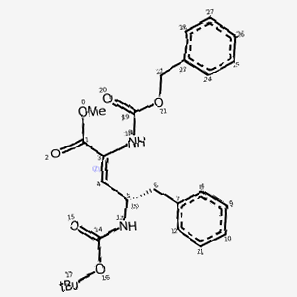 COC(=O)/C(=C/[C@H](Cc1ccccc1)NC(=O)OC(C)(C)C)NC(=O)OCc1ccccc1